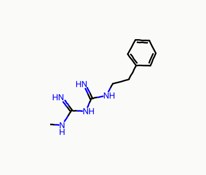 CNC(=N)NC(=N)NCCc1ccccc1